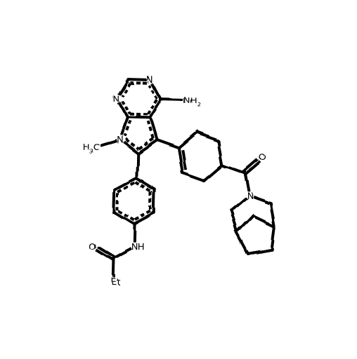 CCC(=O)Nc1ccc(-c2c(C3=CCC(C(=O)N4CC5CCC(C5)C4)CC3)c3c(N)ncnc3n2C)cc1